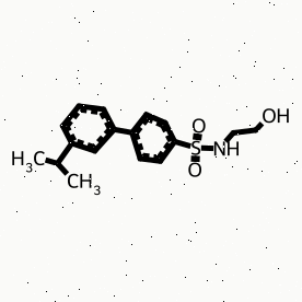 CC(C)c1cccc(-c2ccc(S(=O)(=O)NCCO)cc2)c1